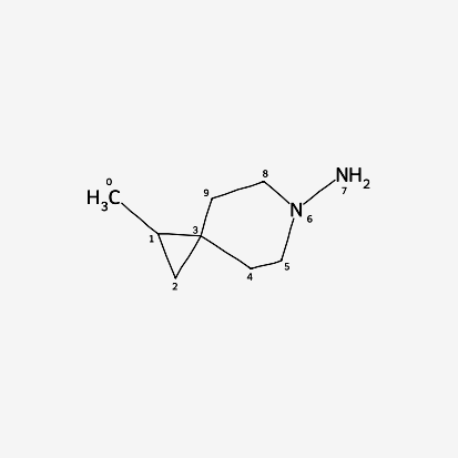 CC1CC12CCN(N)CC2